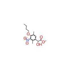 CCCCOc1c(C)cc(C(O)C(=O)OC)c(C)c1[N+](=O)[O-]